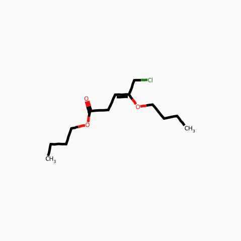 CCCCOC(=O)C/C=C(/CCl)OCCCC